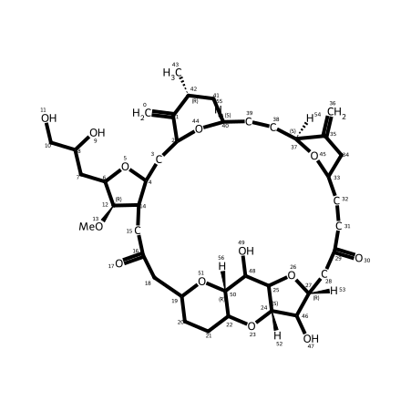 C=C1C2CC3OC(CC(O)CO)[C@H](OC)C3CC(=O)CC3CCC4O[C@@H]5C(O[C@H](CC(=O)CCC6CC(=C)[C@H](CC[C@@H](C[C@H]1C)O2)O6)C5O)C(O)[C@H]4O3